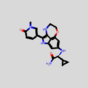 Cn1cc(-c2[nH]c3cc(N[C@H](C(N)=O)C4CC4)cc4c3c2NCCO4)ccc1=O